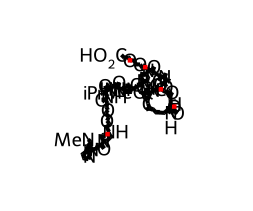 CNCc1cc2cccnc2n1CCC(=O)N1CCC(NCCOCCOCCC(=O)N[C@H](C(=O)N[C@@H](C)C(=O)Nc2ccc(COC(=O)N3CCC(N(CCOCCOCCC(=O)O)C(=O)CCC(=O)N(C)[C@@H](C)C(=O)O[C@H]4CC(=O)N(C)c5cc(cc(OC)c5Cl)C/C(C)=C/C=C/CC5C[C@H](OC(=O)N5)[C@@H](C)C5O[C@]54C)CC3)cc2)C(C)C)CC1